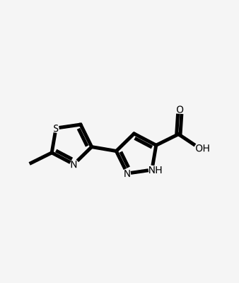 Cc1nc(-c2cc(C(=O)O)[nH]n2)cs1